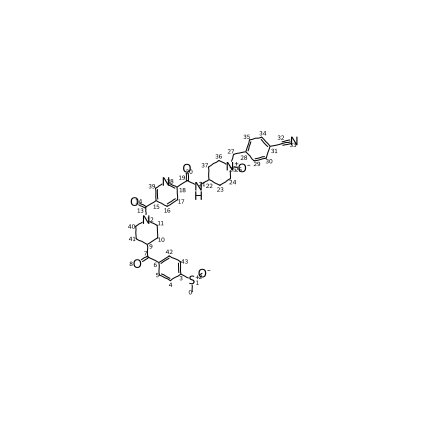 C[S+]([O-])c1ccc(C(=O)C2CCN(C(=O)c3ccc(C(=O)NC4CC[N+]([O-])(Cc5ccc(C#N)cc5)CC4)nc3)CC2)cc1